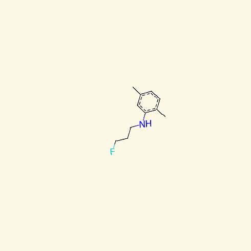 Cc1ccc(C)c(NCCCF)c1